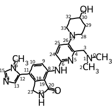 CN(C)Cc1nc(Nc2ccc(-c3cncn3C)c3c2C(=O)NC3)ccc1N1CCC(O)CC1